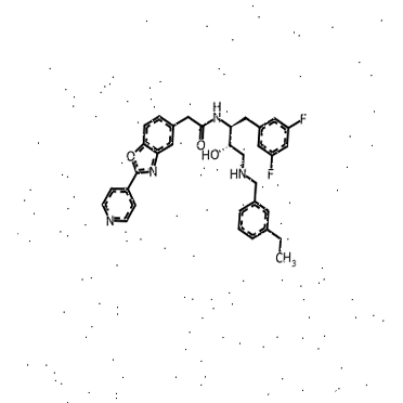 CCc1cccc(CNC[C@H](O)[C@H](Cc2cc(F)cc(F)c2)NC(=O)Cc2ccc3oc(-c4ccncc4)nc3c2)c1